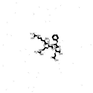 N=C(N)NCCC[C@H](NC(=O)[C@@H](N)CCCNC(=N)N)C(=O)N[C@@H](Cc1ccccc1)C(=O)N[C@@H](CCC(=O)O)C(=O)O